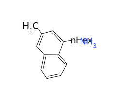 CCCCCCc1cc(C)cc2ccccc12.N